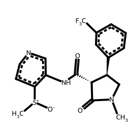 CN1C[C@H](c2cccc(C(F)(F)F)c2)[C@@H](C(=O)Nc2cnccc2[S+](C)[O-])C1=O